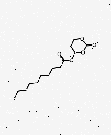 CCCCCCCCCC(=O)OC1CCOC(=O)O1